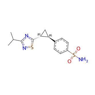 CC(C)c1nsc([C@@H]2C[C@H]2c2ccc(S(N)(=O)=O)cc2)n1